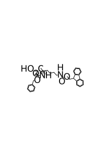 O=C(NCCCC[C@@H](NC(=O)OCc1ccccc1)C(=O)O)OCC1c2ccccc2-c2ccccc21